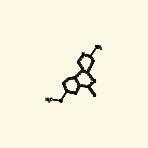 COc1ccc2c(c1)c(=O)oc1cc(N)ncc12